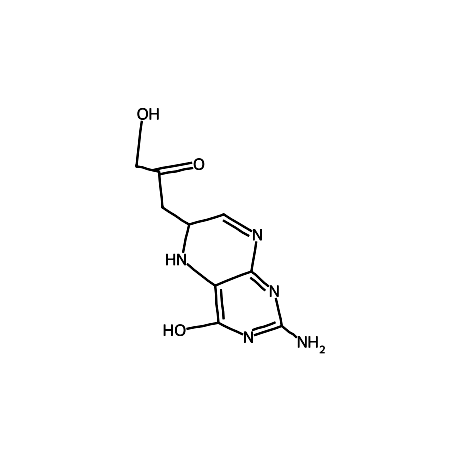 Nc1nc(O)c2c(n1)N=CC(CC(=O)CO)N2